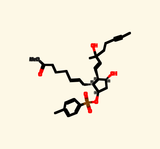 CC#CCCC(C)(O)C=C[C@@H]1[C@@H](CC=CCCCC(=O)OC)[C@H](OS(=O)(=O)c2ccc(C)cc2)C[C@H]1O